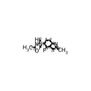 CC(=O)N[N+](F)(F)c1ccc2nn(C)cc2c1F